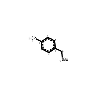 CC(C)(C)Cc1ccc(P)cc1